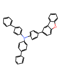 c1ccc(-c2ccc(N(c3ccc(-c4ccccc4)cc3)c3ccc(-c4ccc5oc6ccccc6c5c4)cc3)cc2)cc1